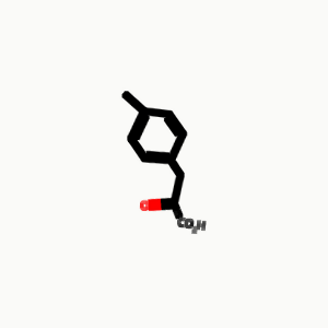 Cc1ccc(CC(=O)C(=O)O)cc1